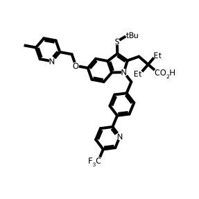 CCC(CC)(Cc1c(SC(C)(C)C)c2cc(OCc3ccc(C)cn3)ccc2n1Cc1ccc(-c2ccc(C(F)(F)F)cn2)cc1)C(=O)O